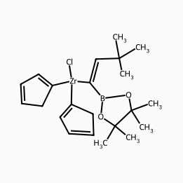 CC(C)(C)C=[C](B1OC(C)(C)C(C)(C)O1)[Zr]([Cl])([C]1=CC=CC1)[C]1=CC=CC1